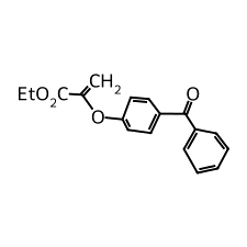 C=C(Oc1ccc(C(=O)c2ccccc2)cc1)C(=O)OCC